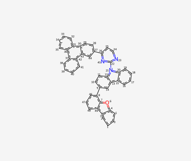 c1ccc2c(c1)oc1c(-c3ccc4c(c3)c3ccccc3n4-c3nccc(-c4ccc5c6ccccc6c6ccccc6c5c4)n3)cccc12